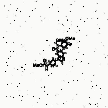 COCN(C(=O)c1cn2c(-c3ccc(NC(=O)OC)nc3)cnc2cn1)c1ccc(F)c(OC)c1